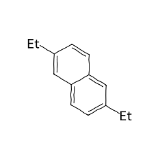 CCc1ccc2cc(CC)ccc2c1